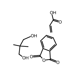 C=CC(=O)O.CC(C)(CO)CO.O=C1OC(=O)c2ccccc21